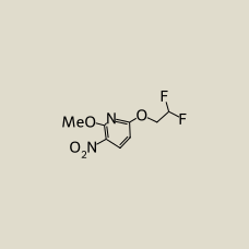 COc1nc(OCC(F)F)ccc1[N+](=O)[O-]